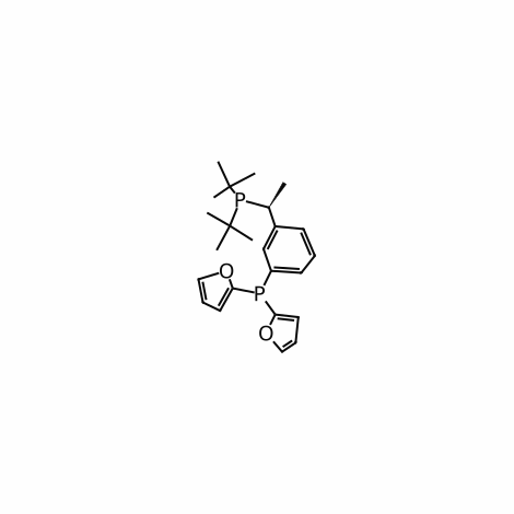 C[C@@H](c1cccc(P(c2ccco2)c2ccco2)c1)P(C(C)(C)C)C(C)(C)C